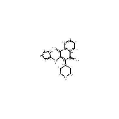 O=C1C([Se]c2cccs2)=C(N2CCOCC2)C(=O)c2ccccc21